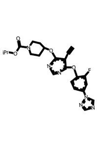 C#Cc1c(Oc2ccc(-n3cncn3)cc2F)ncnc1OC1CCN(C(=O)OC(C)C)CC1